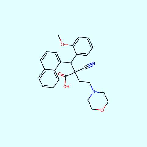 COc1ccccc1C(c1cccc2ccccc12)C(C#N)(CCN1CCOCC1)C(=O)O